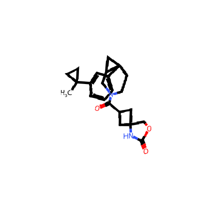 CC1(c2cccc(C34CCN(C(=O)C5CC6(COC(=O)N6)C5)CC3C4)c2)CC1